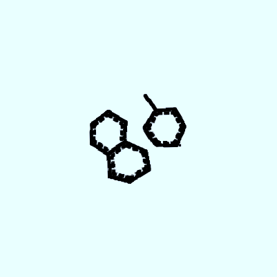 Cc1cc[c]cc1.c1ccc2ccccc2c1